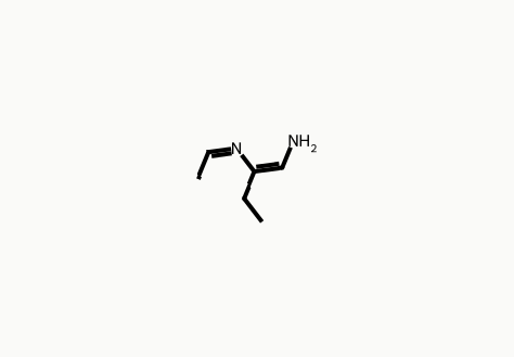 C/C=N\C(=C/N)CC